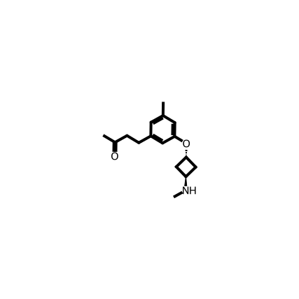 CN[C@H]1C[C@H](Oc2cc(C)cc(CCC(C)=O)c2)C1